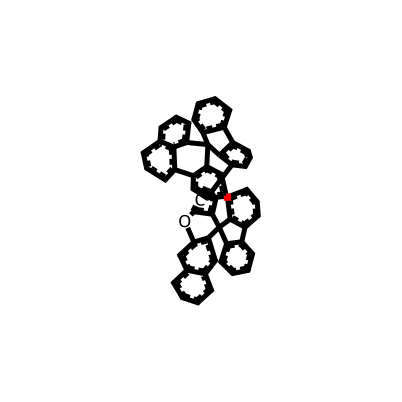 c1ccc2c(c1)-c1ccccc1C21c2cc(-c3cccc4c3C3(c5ccccc5-4)c4ccccc4-c4cccc5cccc3c45)ccc2Oc2cc3ccccc3cc21